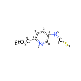 CCOC(=O)c1ccc(N=C=S)cn1